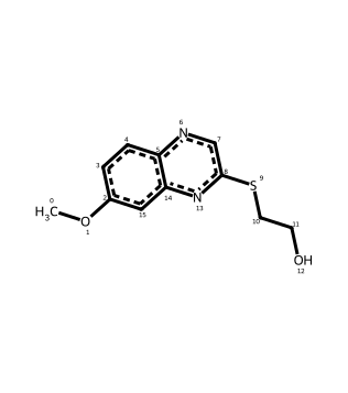 COc1ccc2ncc(SCCO)nc2c1